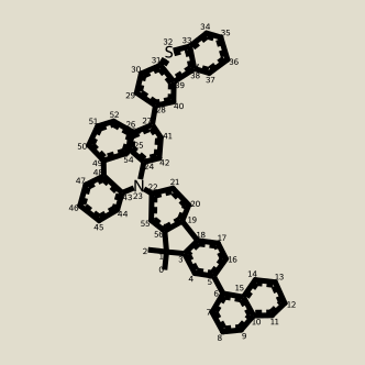 CC1(C)c2cc(-c3cccc4ccccc34)ccc2-c2ccc(N(c3ccc(-c4ccc5sc6ccccc6c5c4)cc3)c3ccccc3-c3ccccc3)cc21